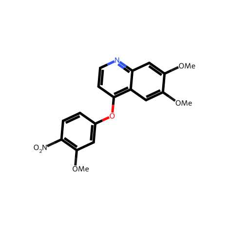 COc1cc2nccc(Oc3ccc([N+](=O)[O-])c(OC)c3)c2cc1OC